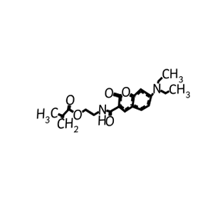 C=C(C)C(=O)OCCNC(=O)c1cc2ccc(N(CC)CC)cc2oc1=O